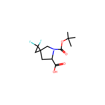 CC(C)(C)OC(=O)N1CC2(CC1C(=O)O)CC2(F)F